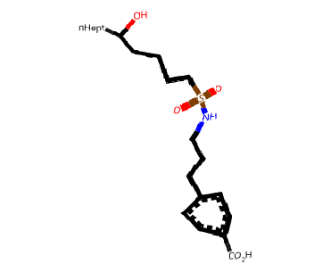 CCCCCCCC(O)CCCCS(=O)(=O)NCCCc1ccc(C(=O)O)cc1